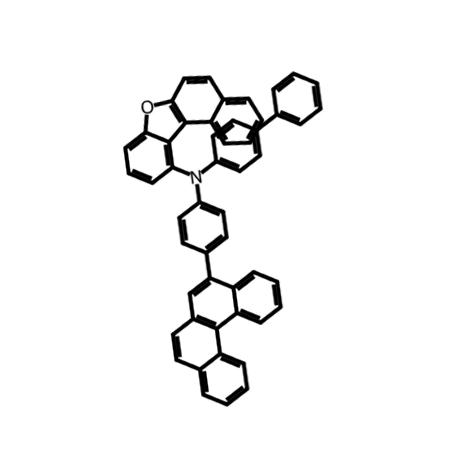 c1ccc(-c2ccc(N(c3ccc(-c4cc5ccc6ccccc6c5c5ccccc45)cc3)c3cccc4oc5ccc6ccccc6c5c34)cc2)cc1